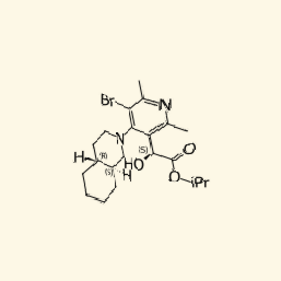 Cc1nc(C)c([C@H](O)C(=O)OC(C)C)c(N2CC[C@H]3CCCC[C@@H]3C2)c1Br